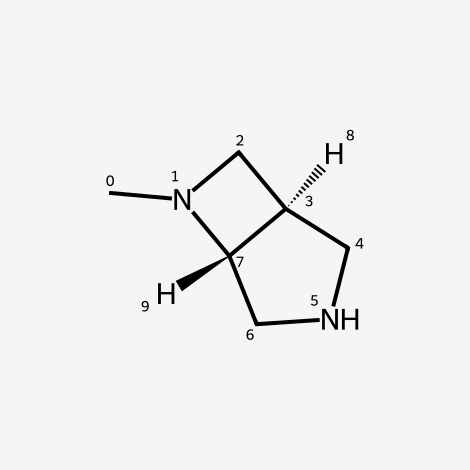 CN1C[C@H]2CNC[C@@H]21